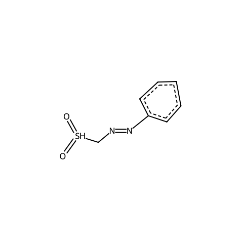 O=[SH](=O)CN=Nc1ccccc1